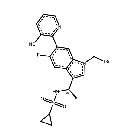 C[C@@H](NS(=O)(=O)C1CC1)c1cn(CC(C)(C)C)c2cc(-c3ncccc3C#N)c(F)cc12